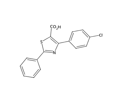 O=C(O)c1sc(-c2ccccc2)nc1-c1ccc(Cl)cc1